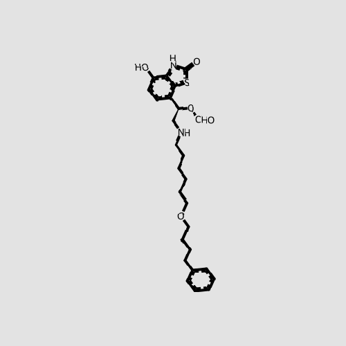 O=CO[C@@H](CNCCCCCCOCCCCc1ccccc1)c1ccc(O)c2[nH]c(=O)sc12